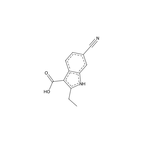 CCc1[nH]c2cc(C#N)ccc2c1C(=O)O